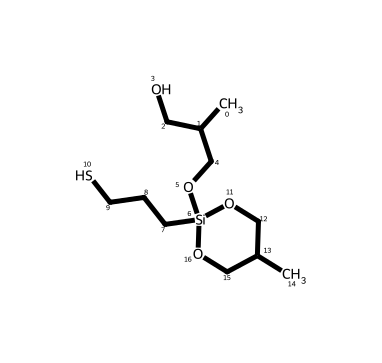 CC(CO)CO[Si]1(CCCS)OCC(C)CO1